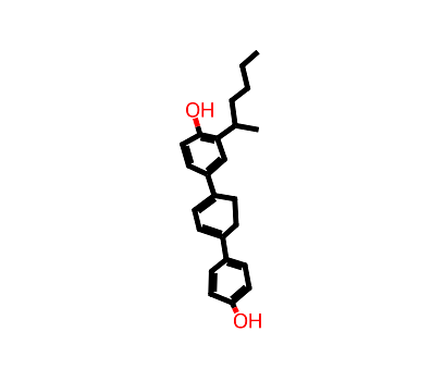 CCCCC(C)c1cc(C2=CC=C(c3ccc(O)cc3)CC2)ccc1O